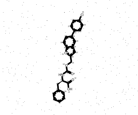 O=C(N[C@H](Cc1ccccc1)C(=O)O)OCc1cc2cc(-c3ccc(Cl)cc3)ccc2o1